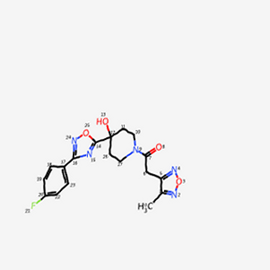 Cc1nonc1CC(=O)N1CCC(O)(c2nc(-c3ccc(F)cc3)no2)CC1